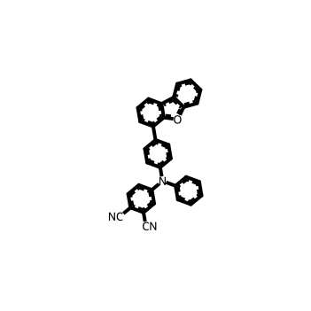 N#Cc1ccc(N(c2ccccc2)c2ccc(-c3cccc4c3oc3ccccc34)cc2)cc1C#N